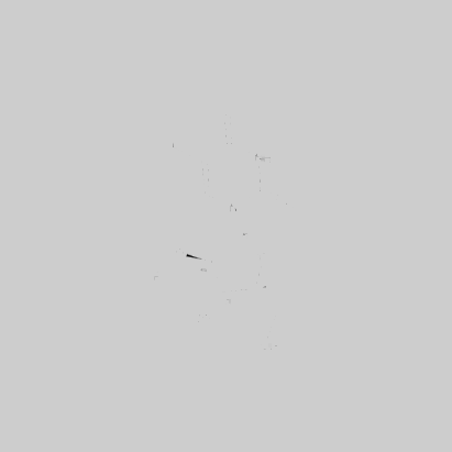 O=c1[nH]c(=O)n([C@@H]2O[C@H](CO)[C@H](O)[C@H]2OF)cc1I